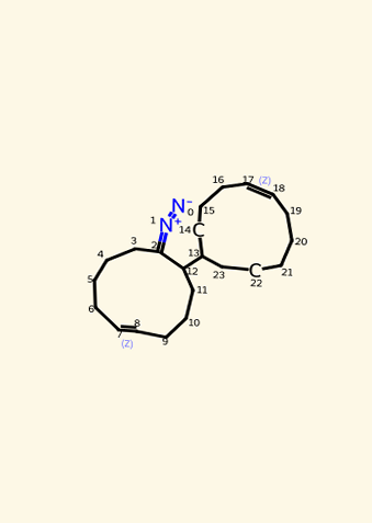 [N-]=[N+]=C1CCCC/C=C\CCCC1C1CCC/C=C\CCCCC1